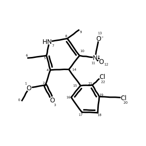 COC(=O)C1=C(C)NC(C)=C([N+](=O)[O-])C1c1cccc(Cl)c1Cl